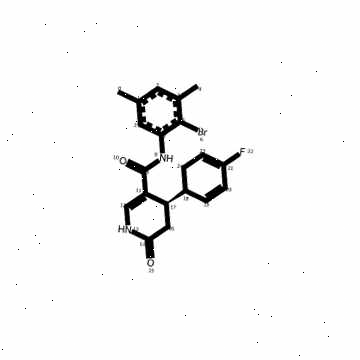 Cc1cc(C)c(Br)c(NC(=O)C2=CNC(=O)C[C@@H]2C2C=CC(F)=CC2)c1